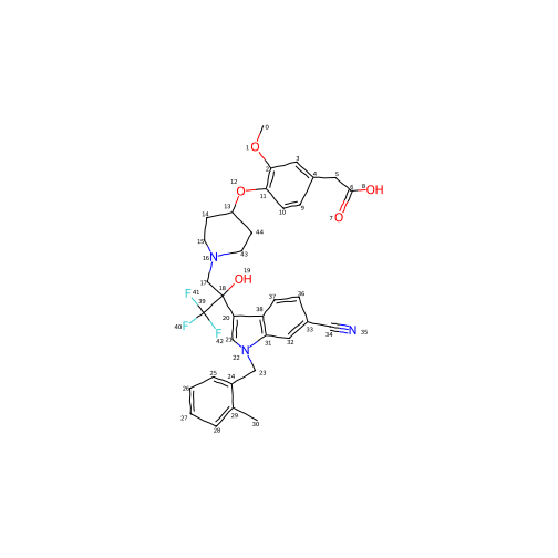 COc1cc(CC(=O)O)ccc1OC1CCN(CC(O)(c2cn(Cc3ccccc3C)c3cc(C#N)ccc23)C(F)(F)F)CC1